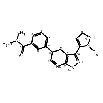 CN(C)C(=O)c1cccc(C2C=Nc3[nH]nc(C4=CCNN4C)c3C2)c1